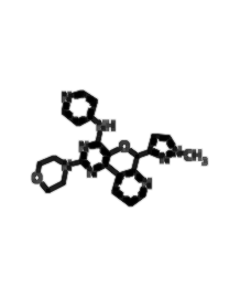 Cn1ccc(C2Oc3c(Nc4ccncc4)nc(N4CCOCC4)nc3-c3cccnc32)n1